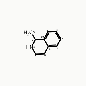 [CH2]C1NCCc2ccccc21